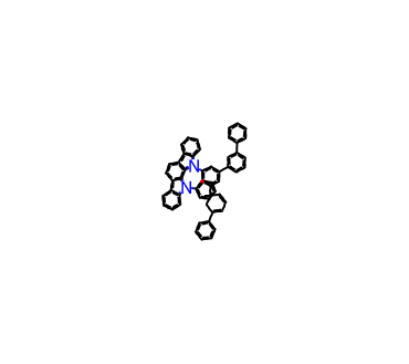 CC1(c2cc(-c3cccc(-c4ccccc4)c3)cc(-n3c4ccccc4c4ccc5c6ccccc6n(-c6ccccc6)c5c43)c2)C=CC=C(c2ccccc2)C1